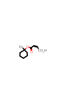 CCC1(OC(=O)/C=C\C(=O)O)CCCCC1